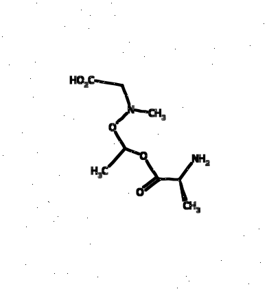 CC(OC(=O)[C@H](C)N)ON(C)CC(=O)O